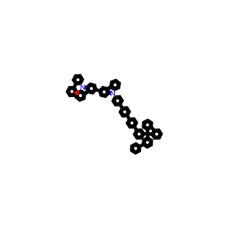 c1ccc(-c2cccc(C3(c4cccc(-c5ccc(-c6ccc(-c7ccc(-n8c9ccccc9c9cc(-c%10ccc%11c(c%10)c%10ccccc%10n%11-c%10ccccc%10-c%10ccccc%10)ccc98)cc7)cc6)cc5)c4)c4ccccc4-c4ccccc43)c2)cc1